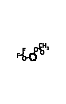 CC(=O)Oc1cccc(OC(F)F)c1